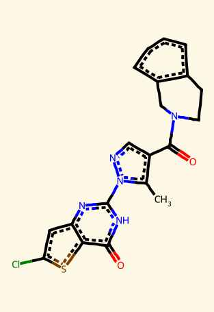 Cc1c(C(=O)N2CCc3ccccc3C2)cnn1-c1nc2cc(Cl)sc2c(=O)[nH]1